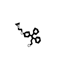 ClCC/C(=C(/c1ccccc1)c1ccc(OCCN2CC2)cc1)c1ccccc1